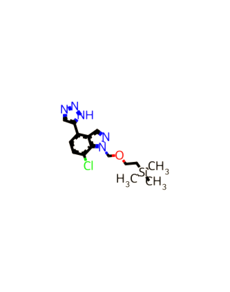 C[Si](C)(C)CCOCn1ncc2c(-c3cnn[nH]3)ccc(Cl)c21